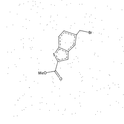 COC(=O)c1cc2cc(CBr)ccc2s1